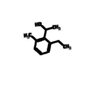 CCc1cccc(C)c1C(C)O